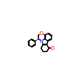 O=C1CCCc2c1c1cccc3c1n2[C@@H](c1ccccc1)CO3